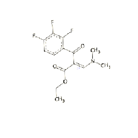 CCOC(=O)/C(=C/N(C)C)C(=O)c1ccc(F)c(F)c1F